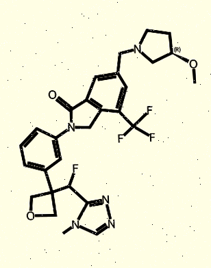 CO[C@@H]1CCN(Cc2cc3c(c(C(F)(F)F)c2)CN(c2cccc(C4(C(F)c5nncn5C)COC4)c2)C3=O)C1